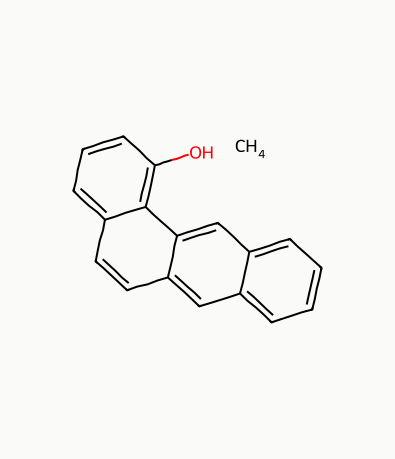 C.Oc1cccc2ccc3cc4ccccc4cc3c12